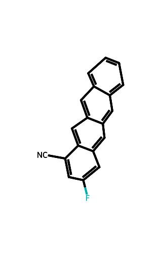 N#Cc1cc(F)cc2cc3cc4ccccc4cc3cc12